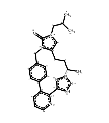 CCCCc1cn(CC(C)C)c(=O)n1Cc1ccc(-c2cccnc2-c2nnn[nH]2)cc1